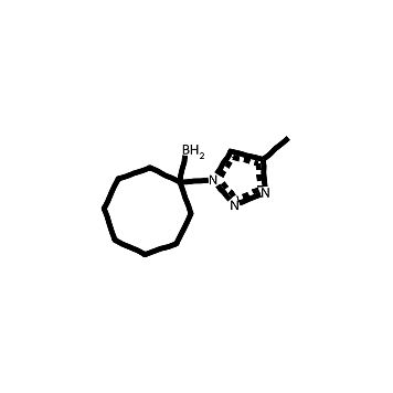 BC1(n2cc(C)nn2)CCCCCCC1